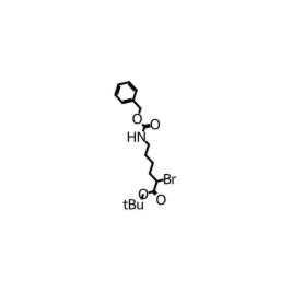 CC(C)(C)OC(=O)C(Br)CCCCNC(=O)OCc1ccccc1